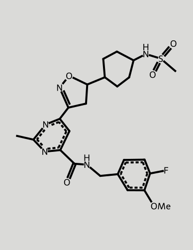 COc1cc(CNC(=O)c2cc(C3=NOC(C4CCC(NS(C)(=O)=O)CC4)C3)nc(C)n2)ccc1F